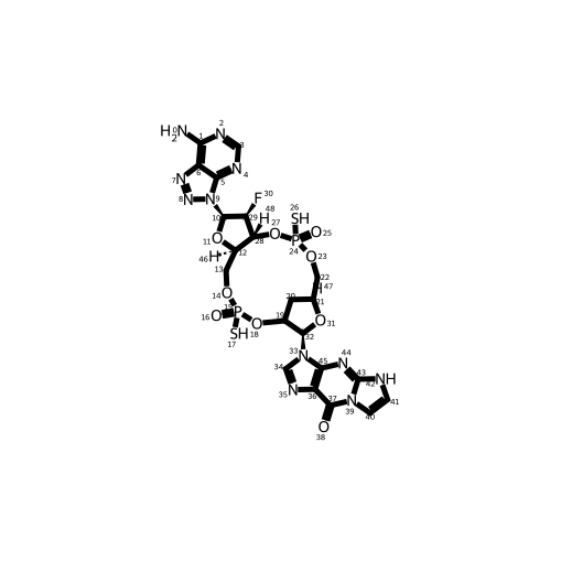 Nc1ncnc2c1nnn2[C@@H]1O[C@@H]2COP(=O)(S)OC3C[C@@H](COP(=O)(S)O[C@H]2[C@@H]1F)O[C@H]3n1cnc2c(=O)n3cc[nH]c3nc21